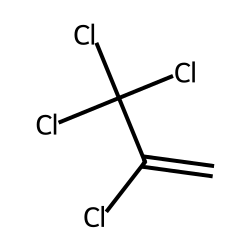 C=C(Cl)C(Cl)(Cl)Cl